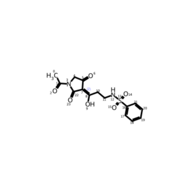 CC(=O)N1CC(=O)/C(=C(/O)CCNS(=O)(=O)c2ccccc2)C1=O